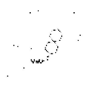 COC=C1CCC2(CCCCC2)CC1